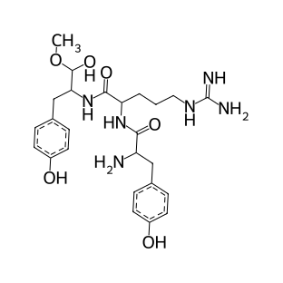 COC(O)C(Cc1ccc(O)cc1)NC(=O)C(CCCNC(=N)N)NC(=O)C(N)Cc1ccc(O)cc1